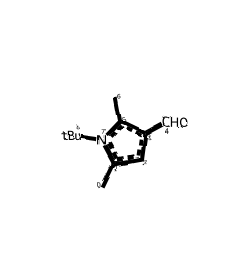 Cc1cc(C=O)c(C)n1C(C)(C)C